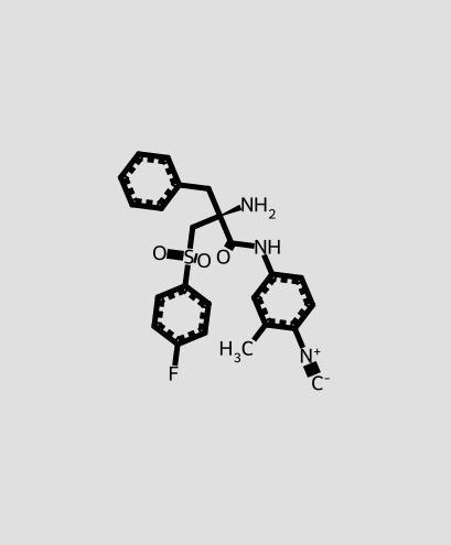 [C-]#[N+]c1ccc(NC(=O)[C@@](N)(Cc2ccccc2)CS(=O)(=O)c2ccc(F)cc2)cc1C